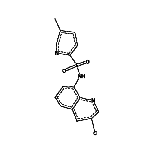 Cc1ccc(S(=O)(=O)Nc2cccc3cc(Cl)cnc23)nc1